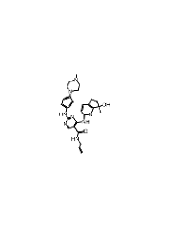 C=CCNC(=O)c1cnc(Nc2ccc(N3CCN(C)CC3)cc2)nc1Nc1ccc2c(n1)[C@@](C)(O)CC2